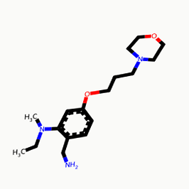 CCN(C)c1cc(OCCCN2CCOCC2)ccc1CN